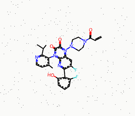 C=CC(=O)N1CCN(n2c(=O)c(=O)n(-c3c(C)ccnc3C(C)C)c3nc(-c4c(O)cccc4F)c(F)cc32)CC1